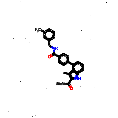 CNC(=O)c1[nH]c2cccc(-c3ccc(C(=O)NCc4cccc(C(F)(F)F)c4)cc3)c2c1C